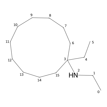 CCNC1(CC)CCCCCCCCCC1